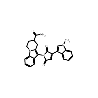 Cn1cc(C2=CC(=O)N(c3c4n(c5ccccc35)CCC(C(N)=O)C4)C2=O)c2ccccc21